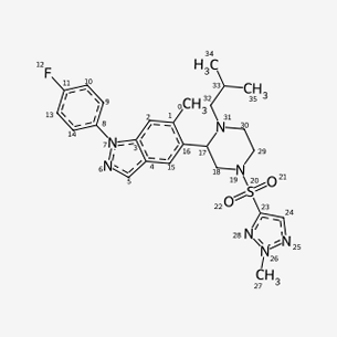 Cc1cc2c(cnn2-c2ccc(F)cc2)cc1C1CN(S(=O)(=O)c2cnn(C)n2)CCN1CC(C)C